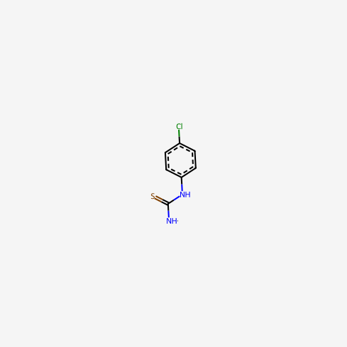 [NH]C(=S)Nc1ccc(Cl)cc1